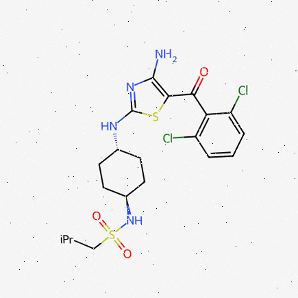 CC(C)CS(=O)(=O)N[C@H]1CC[C@H](Nc2nc(N)c(C(=O)c3c(Cl)cccc3Cl)s2)CC1